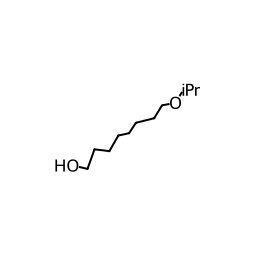 CC(C)OCCCCCCCCO